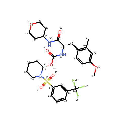 COc1ccc(C[C@H](NC(=O)O[C@H]2CCCCN2S(=O)(=O)c2cccc(C(F)(F)F)c2)C(=O)NC2CCOCC2)c(C)c1